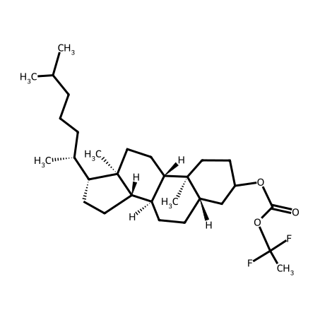 CC(C)CCC[C@@H](C)[C@H]1CC[C@H]2[C@@H]3CC[C@H]4CC(OC(=O)OC(C)(F)F)CC[C@]4(C)[C@H]3CC[C@]12C